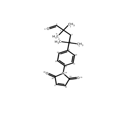 CC(C)(C=O)CC(C)(C)c1ccc(N2C(=O)C=CC2=O)cc1